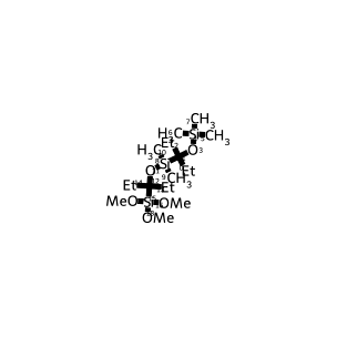 CCC(CC)(O[Si](C)(C)C)[Si](C)(C)OC(CC)(CC)[Si](OC)(OC)OC